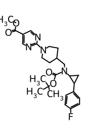 COC(=O)c1cnc(N2CCC(CN(C(=O)OC(C)(C)C)C3CC3c3ccc(F)cc3)CC2)nc1